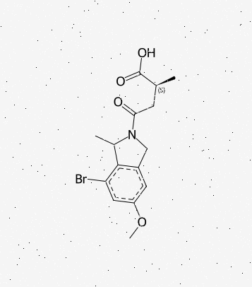 COc1cc(Br)c2c(c1)CN(C(=O)C[C@H](C)C(=O)O)C2C